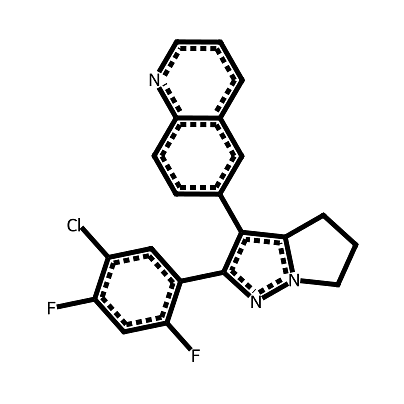 Fc1cc(F)c(-c2nn3c(c2-c2ccc4ncccc4c2)CCC3)cc1Cl